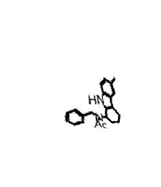 CC(=O)N(Cc1ccccc1)C1CCCC2c3cc(C)ccc3NC21